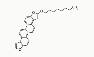 CCCCCCCCOc1cc2c(ccc3c2ccc2c4ccc5occc5c4ccc32)o1